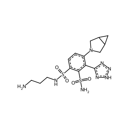 NCCCNS(=O)(=O)c1ccc(N2CC3CC3C2)c(-c2nn[nH]n2)c1S(N)(=O)=O